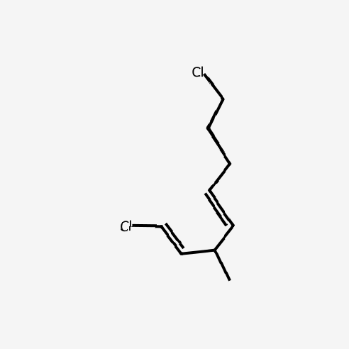 CC(C=CCl)C=CCCCCl